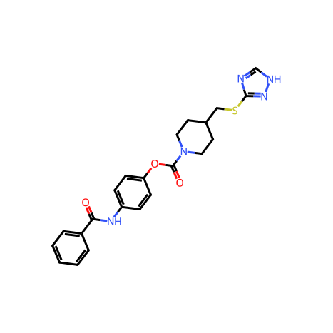 O=C(Nc1ccc(OC(=O)N2CCC(CSc3nc[nH]n3)CC2)cc1)c1ccccc1